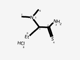 CCC(C(N)=S)N(C)C.Cl